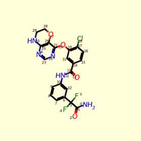 NC(=O)C(F)(F)c1cccc(NC(=O)c2ccc(Cl)c(Oc3ncnc4c3OCCN4)c2)c1